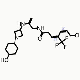 C=C(CNC(=O)C/C=C(\C=C/CCl)C(F)(F)F)NC1CN([C@H]2CC[C@H](O)CC2)C1